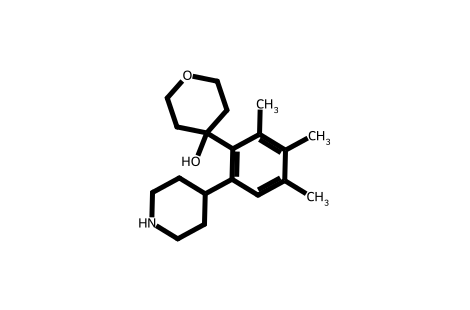 Cc1cc(C2CCNCC2)c(C2(O)CCOCC2)c(C)c1C